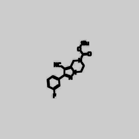 CC(C)(C)OC(=O)N1CCn2nc(-c3cccc(F)c3)c(C#N)c2C1